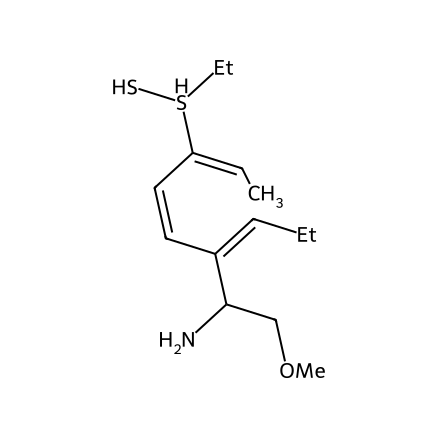 C\C=C(/C=C\C(=C\CC)C(N)COC)[SH](S)CC